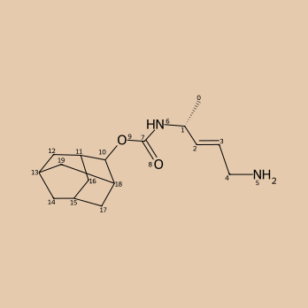 C[C@H](/C=C/CN)NC(=O)OC1C2CC3CC(C2)CC1C3